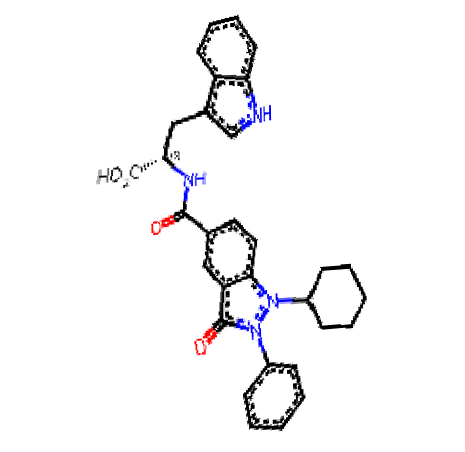 O=C(N[C@@H](Cc1c[nH]c2ccccc12)C(=O)O)c1ccc2c(c1)c(=O)n(-c1ccccc1)n2C1CCCCC1